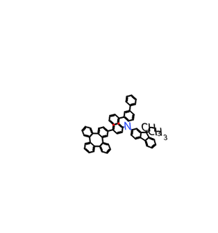 CC1(C)c2ccccc2-c2ccc(N(c3ccc(-c4ccc5c(c4)-c4ccccc4-c4ccccc4-c4ccccc4-5)cc3)c3ccc(-c4ccccc4)cc3-c3ccccc3)cc21